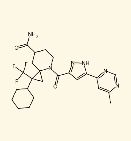 Cc1cc(-c2cc(C(=O)N3CCC(C(N)=O)CC34CC4(C3CCCCC3)C(F)(F)F)n[nH]2)ncn1